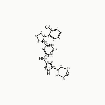 Clc1ccccc1C1CCCN1c1cc(Nc2cc(C3CCOCC3)[nH]n2)ncn1